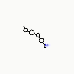 CC1CCC(C2CCC(C3CCC(C4CCC(C5CCN5)CC4)C3)CC2)C1